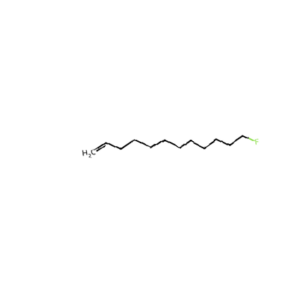 C=CCCCCCCCCCCF